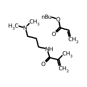 C=C(C)C(=O)NCCCN(C)C.C=CC(=O)OCCCC